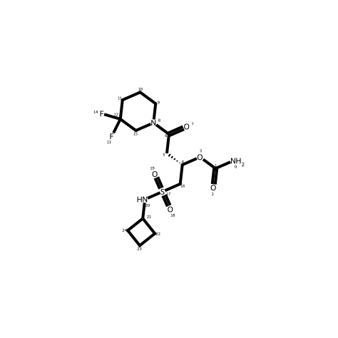 NC(=O)O[C@@H](CC(=O)N1CCCC(F)(F)C1)CS(=O)(=O)NC1CCC1